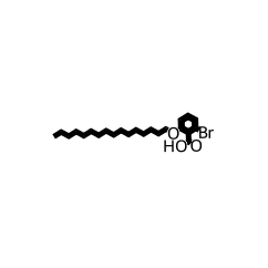 CCCCCCCCCCCCCCCCOc1cccc(Br)c1C(=O)O